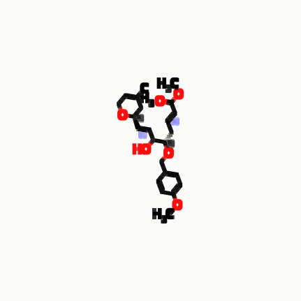 COC(=O)/C=C/C[C@H](OCc1ccc(OC)cc1)C(O)/C=C/[C@@H]1CC(C)=CCO1